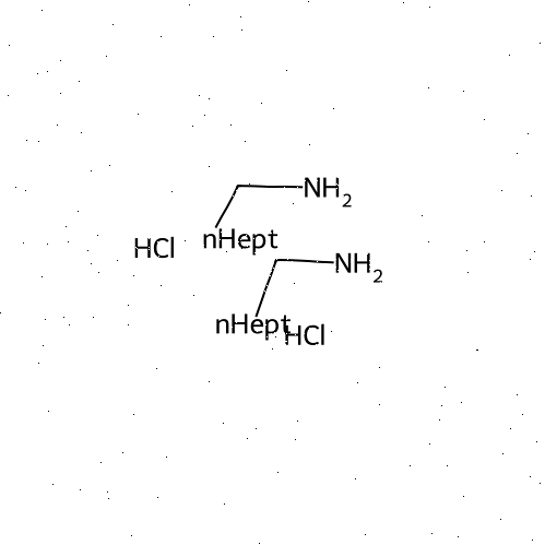 CCCCCCCCN.CCCCCCCCN.Cl.Cl